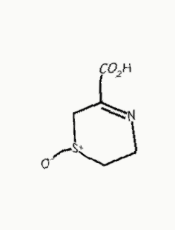 O=C(O)C1=NCC[S+]([O-])C1